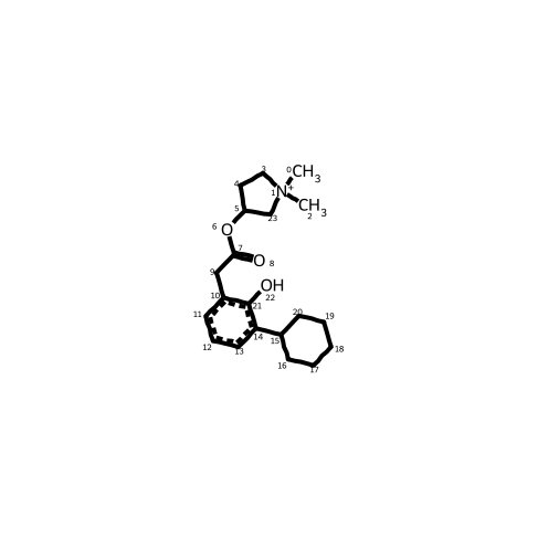 C[N+]1(C)CCC(OC(=O)Cc2cccc(C3CCCCC3)c2O)C1